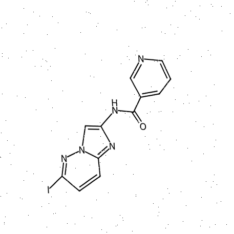 O=C(Nc1cn2nc(I)ccc2n1)c1cccnc1